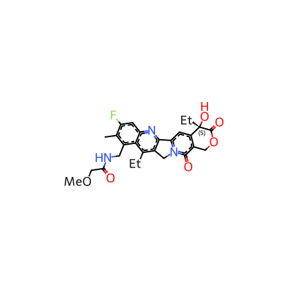 CCc1c2c(nc3cc(F)c(C)c(CNC(=O)COC)c13)-c1cc3c(c(=O)n1C2)COC(=O)[C@]3(O)CC